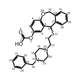 O=C(O)Oc1ccc2c(c1)C(SCCN1CCN(Cc3ccccc3)CC1)c1ccccc1CO2